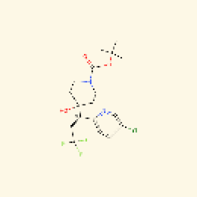 CC(C)(C)OC(=O)N1CCC(O)([C@H](CC(F)(F)F)c2ccc(Cl)cn2)CC1